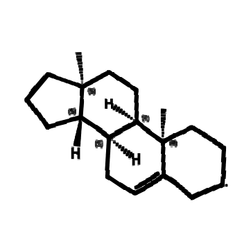 C[C@@]12CCC[C@H]1[C@@H]1CC=C3C[CH]CC[C@]3(C)[C@@H]1CC2